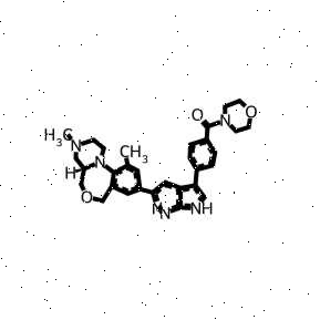 Cc1cc(-c2cc3c(-c4ccc(C(=O)N5CCOCC5)cc4)c[nH]c3nn2)cc2c1N1CCN(C)C[C@H]1COC2